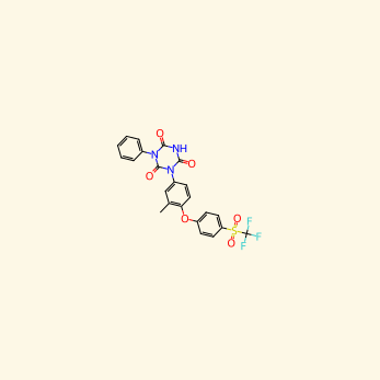 Cc1cc(-n2c(=O)[nH]c(=O)n(-c3ccccc3)c2=O)ccc1Oc1ccc(S(=O)(=O)C(F)(F)F)cc1